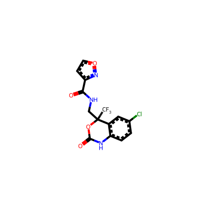 O=C1Nc2ccc(Cl)cc2C(CNC(=O)c2ccon2)(C(F)(F)F)O1